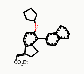 CCOC(=O)C=C1CCc2c1ccc(OC1CCCC1)c2-c1ccc2ccccc2c1